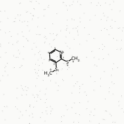 CSc1cccnc1SC